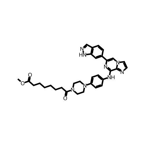 COC(=O)CCCCCCC(=O)N1CCN(c2ccc(Nc3nc(-c4ccc5cn[nH]c5c4)cn4ccnc34)cc2)CC1